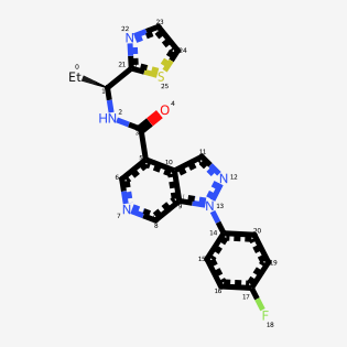 CC[C@H](NC(=O)c1cncc2c1cnn2-c1ccc(F)cc1)c1nccs1